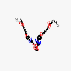 C=CC(=O)OCCCCCCCCOc1ccc(-c2ncc(CO[C@H]3OCCO[C@@H]3OCc3cnc(-c4ccc(OCCCCCCCCOC(=O)C=C)cc4)nc3)cn2)cc1